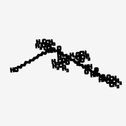 CC(C)(C)OC(=O)NOCCNC(=O)CCC(=O)NCCCN(CCCCN(CCCNC(=O)CCC(NC(=O)CCCCCCCCCCCCCCO)C(=O)OC(C)(C)C)C(=O)OC(C)(C)C)C(=O)OC(C)(C)C